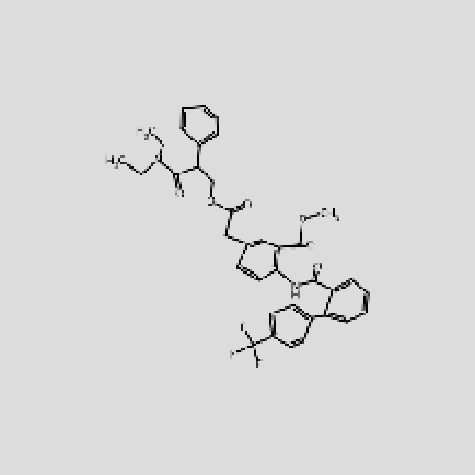 CCN(CC)C(=O)C(COC(=O)Cc1ccc(NC(=O)c2ccccc2-c2ccc(C(F)(F)F)cc2)c(C(=O)OC)c1)c1ccccc1